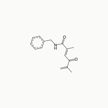 C=C(C)C(=O)C=C(C)C(=O)NCc1ccccc1